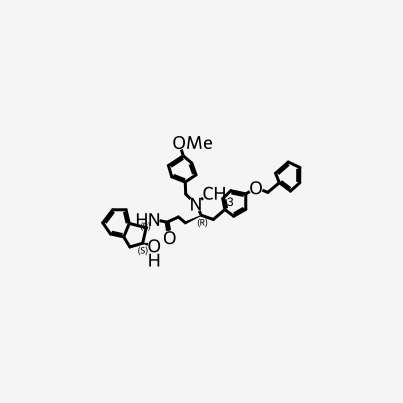 COc1ccc(CN(C)[C@H](CCC(=O)N[C@@H]2c3ccccc3C[C@@H]2O)Cc2ccc(OCc3ccccc3)cc2)cc1